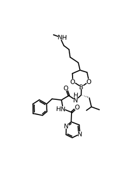 CNCCCCC1COB([C@H](CC(C)C)NC(=O)C(Cc2ccccc2)NC(=O)c2cnccn2)OC1